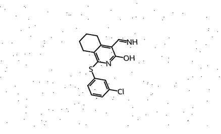 N=Cc1c(O)nc(Sc2cccc(Cl)c2)c2c1CCCC2